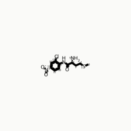 CSCC[C@H](N)C(=O)Nc1ccc([N+](=O)[O-])cc1Cl